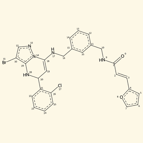 O=C(/C=C/c1ccco1)NCc1cccc(CNC2=CC(c3ccccc3Cl)Nc3c(Br)cnn32)c1